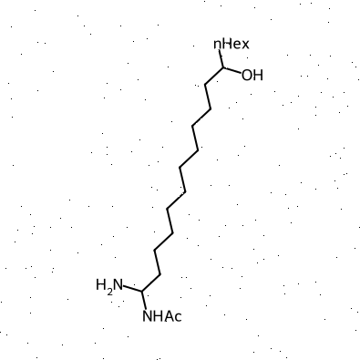 CCCCCCC(O)CCCCCCCCCCC(N)NC(C)=O